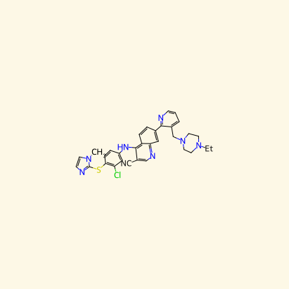 CCN1CCN(Cc2cccnc2-c2ccc3c(Nc4ccc(Sc5nccn5C)c(Cl)c4)c(C#N)cnc3c2)CC1